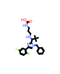 CC(C)(C)C(NCCCNC(=O)O)c1nc(-c2cc(F)ccc2F)cn1Cc1ccccc1